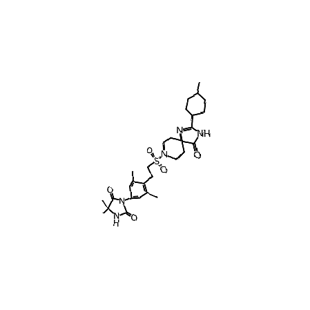 Cc1cc(N2C(=O)NC(C)(C)C2=O)cc(C)c1CCS(=O)(=O)N1CCC2(CC1)N=C(C1CCC(C)CC1)NC2=O